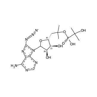 CC(C)(C[C@H]1OC(n2c(N=[N+]=[N-])nc3c(N)ncnc32)[C@H](O)[C@@H]1O)OP(=O)(O)C(C)(C)O